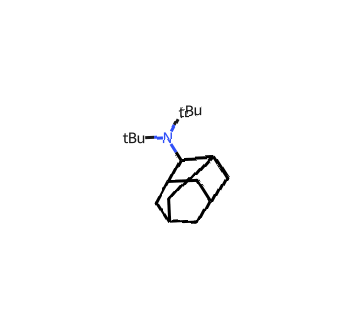 CC(C)(C)N(C1C2CC3CC(C2)CC1C3)C(C)(C)C